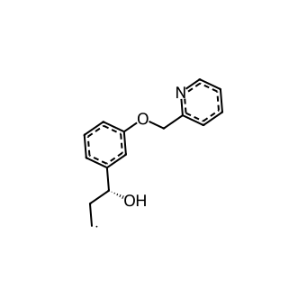 [CH2]C[C@@H](O)c1cccc(OCc2ccccn2)c1